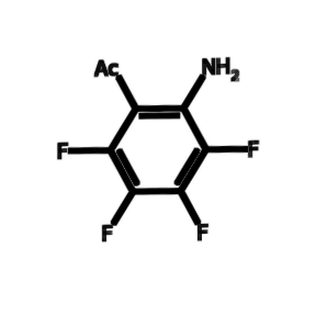 CC(=O)c1c(N)c(F)c(F)c(F)c1F